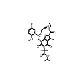 CCOC(=O)c1sc2c(c1C)c(=O)n(C(C)(C)C(=O)NC(C)C)c(=O)n2C[C@H](OCC#N)c1cc(F)ccc1OC